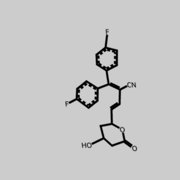 N#CC(C=CC1CC(O)CC(=O)O1)=C(c1ccc(F)cc1)c1ccc(F)cc1